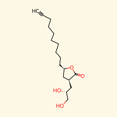 C#CCCCCCCCC[C@@H]1C[C@H](C[C@@H](O)CO)C(=O)O1